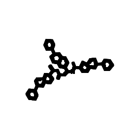 C=C(/C=C(/N=C(\C)c1ccc2cc(-c3ccccc3)ccc2c1)c1ccc2cc(-c3ccccc3)ccc2c1)CC(=C)c1ccc2cc(-c3ccccc3)ccc2c1